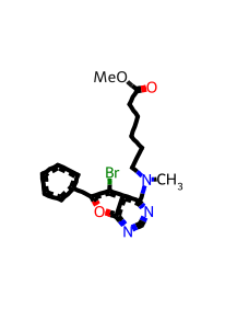 COC(=O)CCCCCN(C)c1ncnc2oc(-c3ccccc3)c(Br)c12